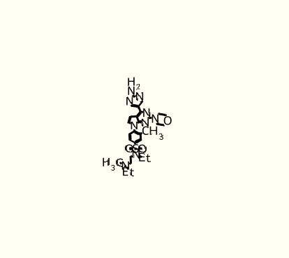 CCN(C)CCN(CC)S(=O)(=O)c1ccc(N2CCc3c(-c4cnc(N)nc4)nc(N4CCOCC4)nc32)c(C)c1